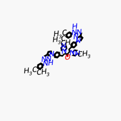 Cc1ccc(Nc2ncc3ccn(-c4ccc(CC(C(=O)C(Cc5ccc(-n6ccc7cnc(Nc8ccc(C)c(C)c8)nc76)cc5)N5CCN(C)CC5)N5CCN(C)CC5)cc4)c3n2)cc1C